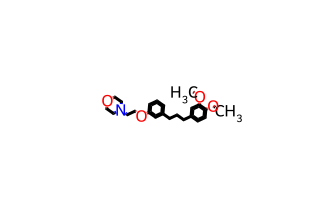 COc1ccc(CCCc2cccc(OCCN3CCOCC3)c2)cc1OC